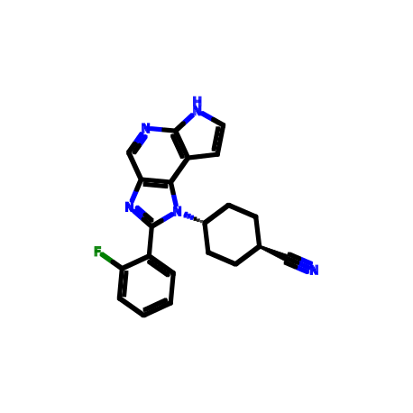 N#C[C@H]1CC[C@H](n2c(-c3ccccc3F)nc3cnc4[nH]ccc4c32)CC1